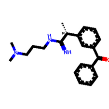 C[C@@H](C(=N)NCCCN(C)C)c1cccc(C(=O)c2ccccc2)c1